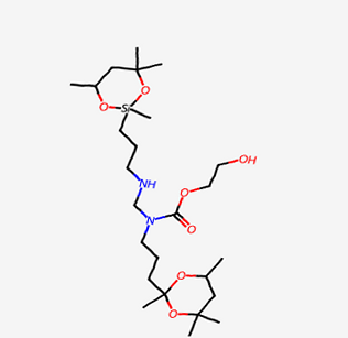 CC1CC(C)(C)OC(C)(CCCN(CNCCC[Si]2(C)OC(C)CC(C)(C)O2)C(=O)OCCO)O1